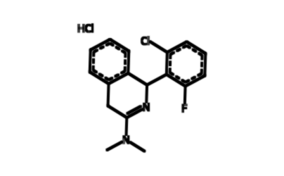 CN(C)C1=NC(c2c(F)cccc2Cl)c2ccccc2C1.Cl